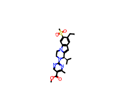 CCc1cc2cc3n(c2cc1S(C)(=O)=O)CCN(c1ncc(C(=O)OC)c(C)n1)[C@@H]3C(C)C